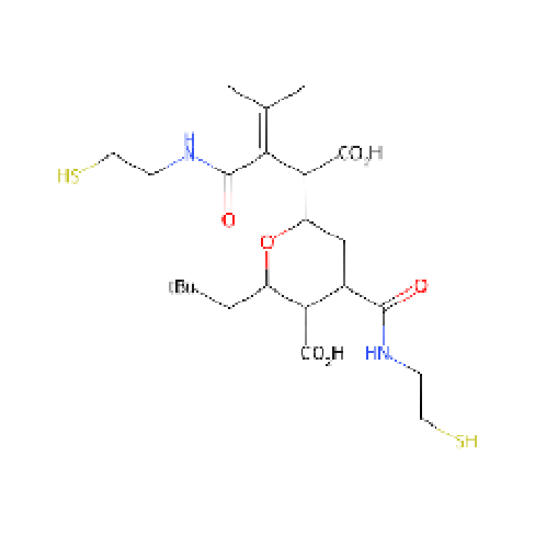 CC(C)=C(C(=O)NCCS)C(C(=O)O)C1CC(C(=O)NCCS)C(C(=O)O)C(CC(C)(C)C)O1